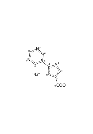 O=C([O-])c1csc(-c2cncnc2)c1.[Li+]